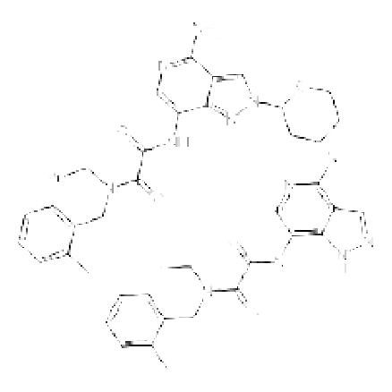 Cc1ccccc1CN(CC(C)C)C(=O)C(=O)Nc1cnc(N)c2cn(C3CCCCO3)nc12.Cc1ccccc1CN(CC(C)C)C(=O)C(=O)Nc1cnc(N)c2cn[nH]c12